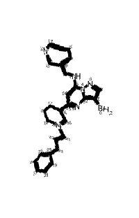 Bc1cnn2c(NCc3cccnc3)cc(C3CCCN(CCCc4ccccc4)C3)nc12